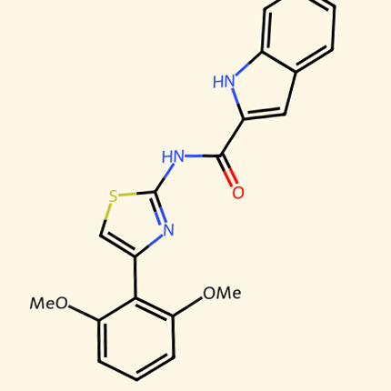 COc1cccc(OC)c1-c1csc(NC(=O)c2cc3ccccc3[nH]2)n1